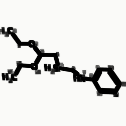 CCOC(C[SiH2]CNc1ccccc1)OCC